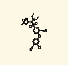 CCN(CC)N(c1cc(C)on1)S(=O)(=O)c1ccc(Oc2ccc(C#N)c(Cl)c2)c(C#N)c1